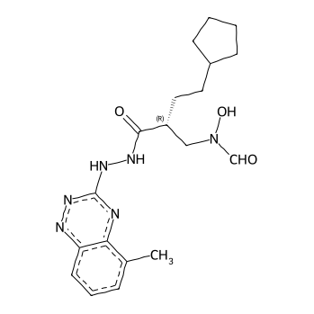 Cc1cccc2nnc(NNC(=O)[C@H](CCC3CCCC3)CN(O)C=O)nc12